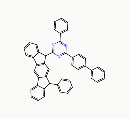 c1ccc(-c2ccc(-c3nc(-c4ccccc4)nc(C4c5ccccc5-c5cc6c(cc54)C(c4ccccc4)c4ccccc4-6)n3)cc2)cc1